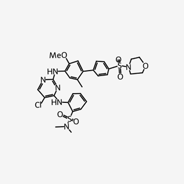 COc1cc(-c2ccc(S(=O)(=O)N3CCOCC3)cc2)c(C)cc1Nc1ncc(Cl)c(Nc2ccccc2S(=O)(=O)N(C)C)n1